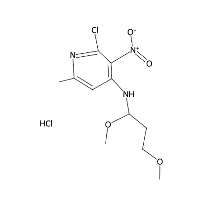 COCCC(Nc1cc(C)nc(Cl)c1[N+](=O)[O-])OC.Cl